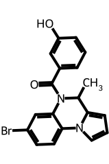 CC1c2cccn2-c2ccc(Br)cc2N1C(=O)c1cccc(O)c1